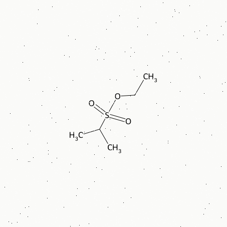 CCOS(=O)(=O)C(C)C